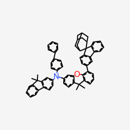 CC1(C)c2ccccc2-c2ccc(N(c3ccc(-c4ccccc4)cc3)c3ccc4c(c3)Oc3c(-c5ccc6c(c5)-c5ccccc5C65C6CC7CC(C6)CC5C7)cccc3C4(C)C)cc21